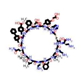 Cc1cccc(C[C@@H]2NC(=O)[C@H](CC(=O)O)NC(=O)[C@H](Cc3ccc(OCC(=O)O)cc3)NC(=O)[C@H](Cc3cnc[nH]3)NC(=O)CSC[C@@H](C(=O)N[C@@H](CCN)C(N)=O)NC(=O)[C@H](CCCN)NC(=O)[C@H](C(C)C)NC(=O)[C@H](CC3CCCCC3)NC(=O)[C@H](CCN)NC(=O)[C@@H](CC(C)C)NC(=O)[C@H](C)N(C)C(=O)[C@H](CCC(N)=O)NC(=O)[C@H](Cc3ccc(-c4ccccc4)cc3)NC(=O)[C@H](Cc3ccc(C(=O)O)cc3)NC2=O)c1